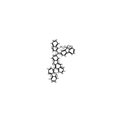 CC1(C)c2ccccc2-c2ccc(N(c3ccc4ccccc4c3)c3ccc4oc5c(-c6cccc7c6sc6ccccc67)c6ccccc6cc5c4c3)cc21